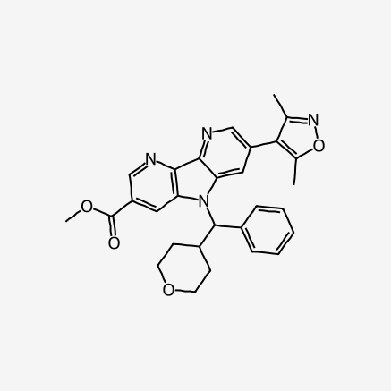 COC(=O)c1cnc2c3ncc(-c4c(C)noc4C)cc3n(C(c3ccccc3)C3CCOCC3)c2c1